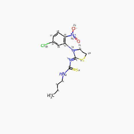 CCCCNC(=S)N=C1SCCN1c1cc(Cl)ccc1[N+](=O)[O-]